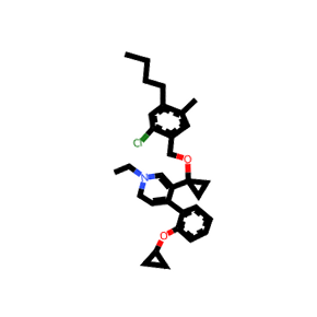 CCCCc1cc(Cl)c(COC2(C3=CN(CC)CC=C3c3ccccc3OC3CC3)CC2)cc1C